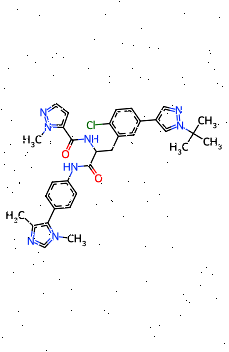 Cc1ncn(C)c1-c1ccc(NC(=O)C(Cc2cc(-c3cnn(C(C)(C)C)c3)ccc2Cl)NC(=O)c2ccnn2C)cc1